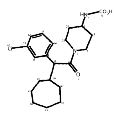 O=C(O)NC1CCN(C(=O)C(c2cccc(Cl)c2)C2CCCCCC2)CC1